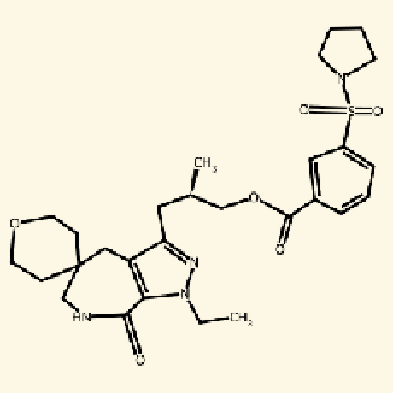 CCn1nc(C[C@@H](C)COC(=O)c2cccc(S(=O)(=O)N3CCCC3)c2)c2c1C(=O)NCC1(CCOCC1)C2